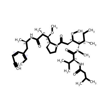 C#C/C=C\C(=C/C)C[C@@H](C)NC(=O)[C@H](C)[C@@H](OC)[C@@H]1CCCN1C(=O)C[C@@H](OC)[C@H]([C@@H](C)CC)N(C)C(=O)[C@@H](NC(=O)CC(C)C)C(C)C